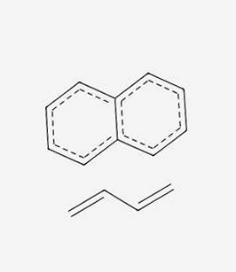 C=CC=C.c1ccc2ccccc2c1